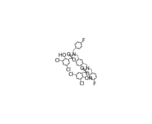 O=S(=O)(c1cc(Cl)cc(Cl)c1O)N(Cc1ccc(F)cc1)Cc1cccc(CN(Cc2ccc(F)cc2)S(=O)(=O)c2cc(Cl)cc(Cl)c2O)c1